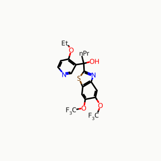 CCCC(O)(c1nc2cc(OC(F)(F)F)c(OC(F)(F)F)cc2s1)c1cnccc1OCC